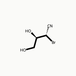 N#C[C@H](Br)[C@H](O)CO